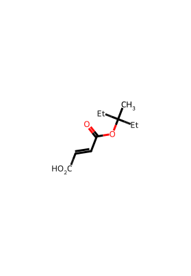 CCC(C)(CC)OC(=O)/C=C/C(=O)O